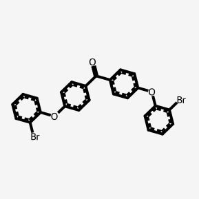 O=C(c1ccc(Oc2ccccc2Br)cc1)c1ccc(Oc2ccccc2Br)cc1